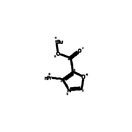 CCCc1ncoc1C(=O)OC(C)(C)C